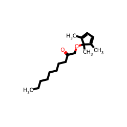 CCCCCCCCC(=O)COC1(C)C(C)=CC=C1C